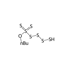 CCCCOS(=S)(=S)SSSS